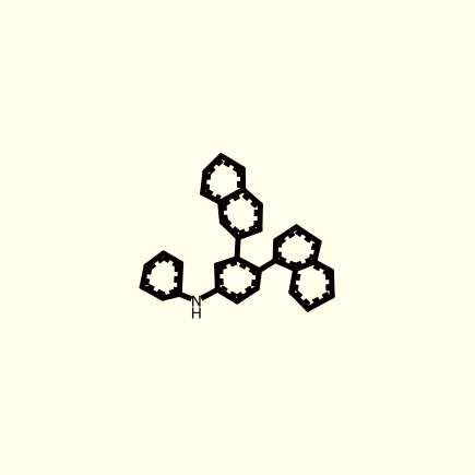 c1ccc(Nc2ccc(-c3cccc4ccccc34)c(-c3ccc4ccccc4c3)c2)cc1